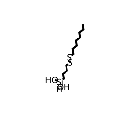 CCCCCCCCSSCCCC[SiH](O)O